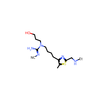 CCNCc1nc(CCCCN(CCCO)C(N)=NC#N)c(C)s1